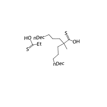 CCC(O)=S.CCCCCCCCCCCCCC(C)(CCCCCCCCCCCCC)C(O)=S